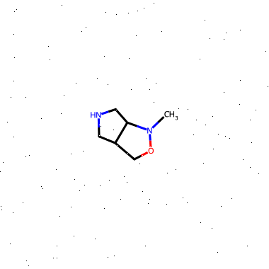 CN1OCC2CNCC21